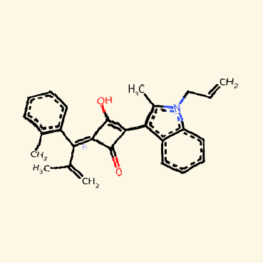 C=CCn1c(C)c(C2=C(O)/C(=C(/C(=C)C)c3ccccc3C)C2=O)c2ccccc21